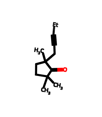 CCC#CCC1(C)CCC(C)(C)C1=O